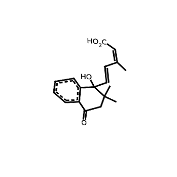 CC(=C/C(=O)O)/C=C/C1(O)c2ccccc2C(=O)CC1(C)C